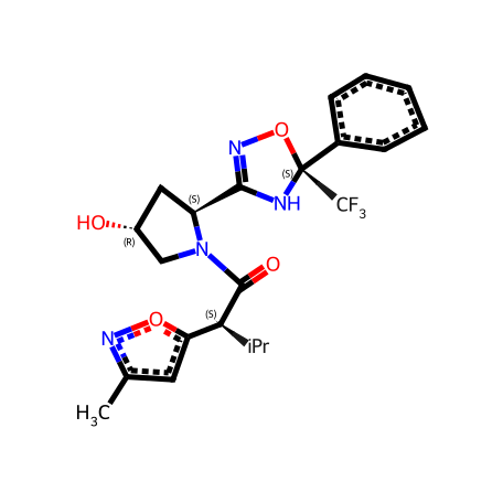 Cc1cc([C@@H](C(=O)N2C[C@H](O)C[C@H]2C2=NO[C@@](c3ccccc3)(C(F)(F)F)N2)C(C)C)on1